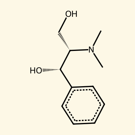 CN(C)[C@@H](CO)[C@@H](O)c1ccccc1